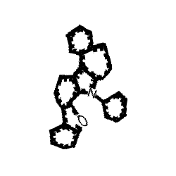 c1ccc(-n2c3ccc4ccccc4c3c3ccc4c5ccccc5oc4c32)cc1